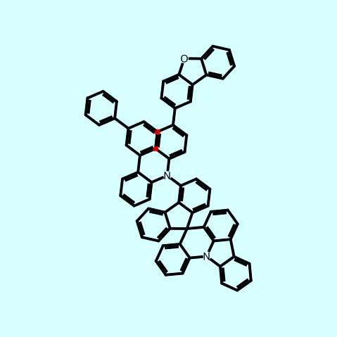 c1ccc(-c2cccc(-c3ccccc3N(c3ccc(-c4ccc5oc6ccccc6c5c4)cc3)c3cccc4c3-c3ccccc3C43c4ccccc4-n4c5ccccc5c5cccc3c54)c2)cc1